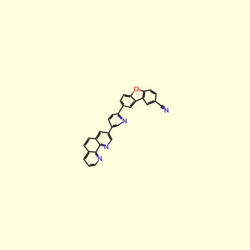 N#Cc1ccc2oc3ccc(-c4ccc(-c5cnc6c(ccc7cccnc76)c5)cn4)cc3c2c1